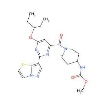 CCC(CC)Oc1cc(C(=O)N2CCC(NC(=O)OC)CC2)nc(-c2cnn3ccsc23)n1